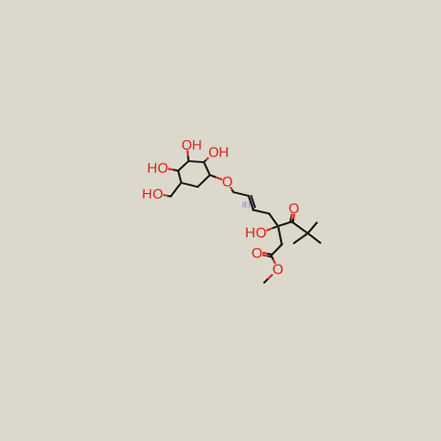 COC(=O)CC(O)(C/C=C/COC1CC(CO)C(O)C(O)C1O)C(=O)C(C)(C)C